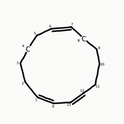 C1=CCCCCC=CCCCCC=C1